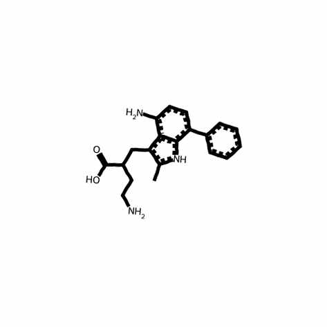 Cc1[nH]c2c(-c3ccccc3)ccc(N)c2c1CC(CCN)C(=O)O